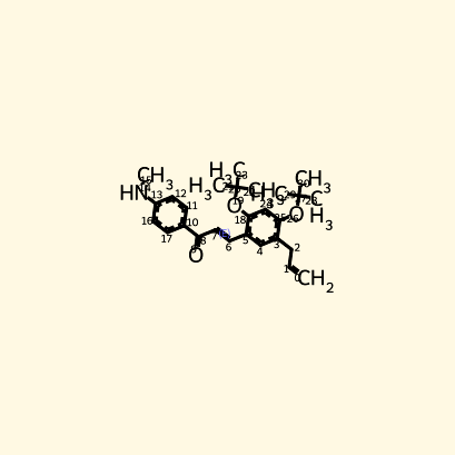 C=CCc1cc(/C=C/C(=O)c2ccc(NC)cc2)c(OC(C)(C)C)cc1OC(C)(C)C